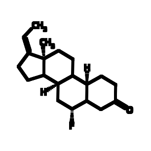 C/C=C1/CCC2[C@@H]3C[C@@H](F)C4CC(=O)CC[C@@H]4C3CC[C@]12C